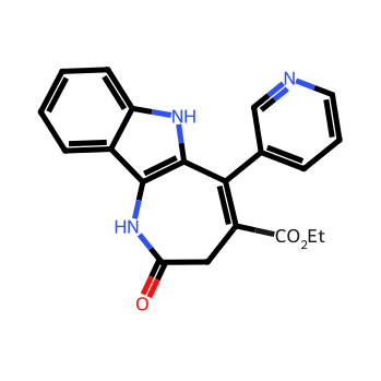 CCOC(=O)C1=C(c2cccnc2)c2[nH]c3ccccc3c2NC(=O)C1